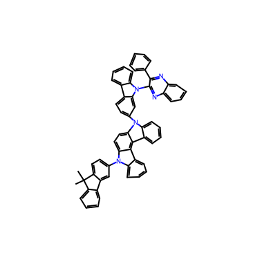 CC1(C)c2ccccc2-c2cc(-n3c4ccccc4c4c5c6ccccc6n(-c6ccc7c8ccccc8n(-c8nc9ccccc9nc8-c8ccccc8)c7c6)c5ccc43)ccc21